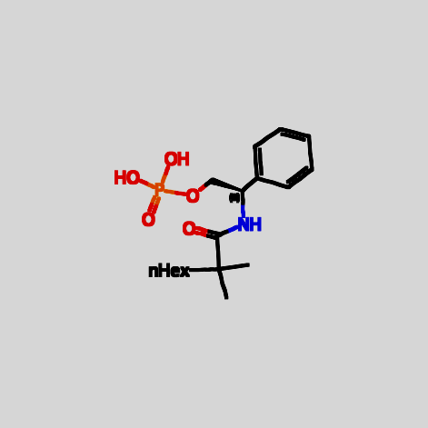 CCCCCCC(C)(C)C(=O)N[C@@H](COP(=O)(O)O)c1ccccc1